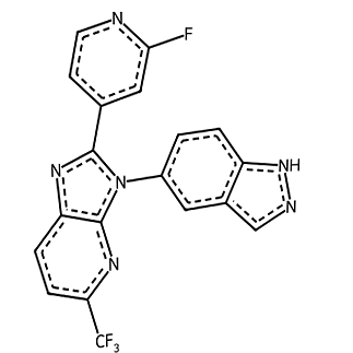 Fc1cc(-c2nc3ccc(C(F)(F)F)nc3n2-c2ccc3[nH]ncc3c2)ccn1